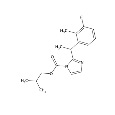 Cc1c(F)cccc1C(C)c1nccn1C(=O)OCC(C)C